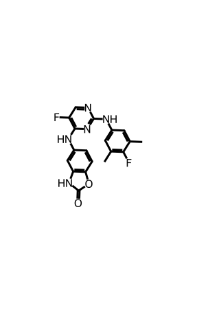 Cc1cc(Nc2ncc(F)c(Nc3ccc4oc(=O)[nH]c4c3)n2)cc(C)c1F